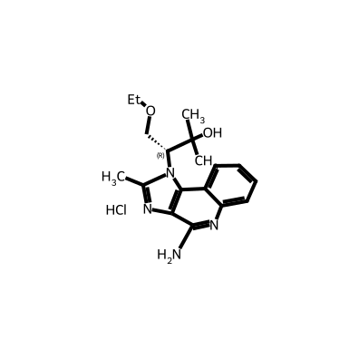 CCOC[C@@H](n1c(C)nc2c(N)nc3ccccc3c21)C(C)(C)O.Cl